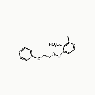 Cc1cccc(OOCCOc2ccccc2)c1C(=O)O